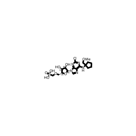 COCC1(Nc2nc(Cl)nc3c2ncn3[C@@H]2O[C@H](COCP(=O)(O)O)[C@@H](O)[C@H]2O)CCCC1